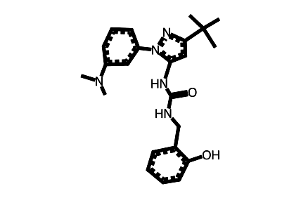 CN(C)c1cccc(-n2nc(C(C)(C)C)cc2NC(=O)NCc2ccccc2O)c1